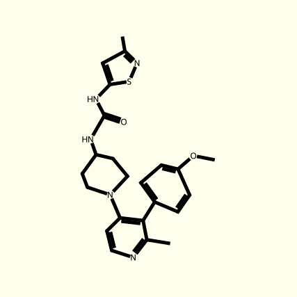 COc1ccc(-c2c(N3CCC(NC(=O)Nc4cc(C)ns4)CC3)ccnc2C)cc1